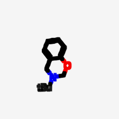 CC(C)(C)N1COc2ccccc2C1